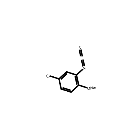 COc1ccc(Cl)cc1N=C=S